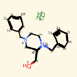 Cl.Cl.OCC1CN(Cc2ccccc2)CCN1Cc1ccccc1